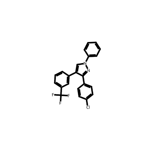 FC(F)(F)c1cccc(-c2cn(-c3ccccc3)nc2-c2ccc(Cl)cc2)c1